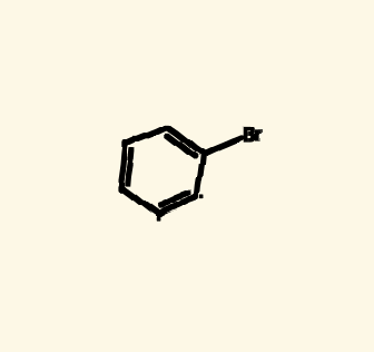 Brc1[c][c]ccc1